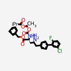 CC(OC(=O)N[C@H](C[C@H](N)Cc1ccc(-c2cc(Cl)ccc2F)cc1)C(=O)OCc1ccccc1)OC(=O)C(C)C